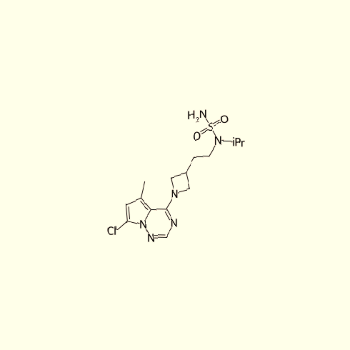 Cc1cc(Cl)n2ncnc(N3CC(CCN(C(C)C)S(N)(=O)=O)C3)c12